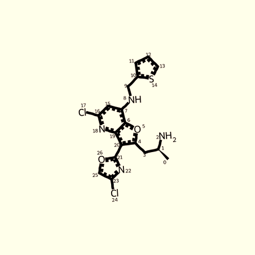 C[C@H](N)Cc1oc2c(NCc3cccs3)cc(Cl)nc2c1-c1nc(Cl)co1